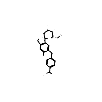 CC(C)c1ccc(Cc2cc3c(cc2Cl)CO[C@]32O[C@H](CN)[C@@H](O)[C@H](O)[C@H]2O)cc1